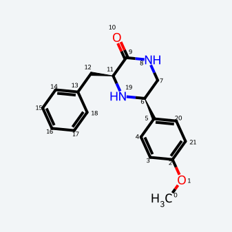 COc1ccc([C@@H]2CNC(=O)[C@H](Cc3ccccc3)N2)cc1